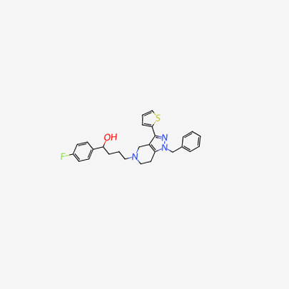 OC(CCCN1CCc2c(c(-c3cccs3)nn2Cc2ccccc2)C1)c1ccc(F)cc1